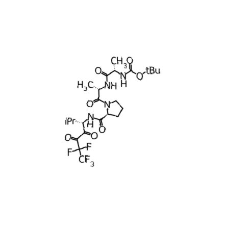 CC(C)[C@H](NC(=O)[C@@H]1CCCN1C(=O)[C@H](C)NC(=O)[C@H](C)NC(=O)OC(C)(C)C)C(=O)C(=O)C(F)(F)C(F)(F)F